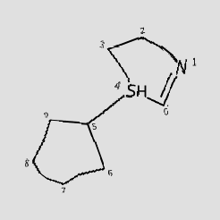 [C]1=NCC[SH]1C1CCCC1